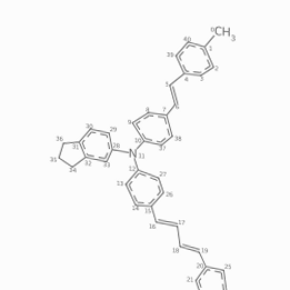 Cc1ccc(/C=C/c2ccc(N(c3ccc(/C=C/C=C/c4ccccc4)cc3)c3ccc4c(c3)CCC4)cc2)cc1